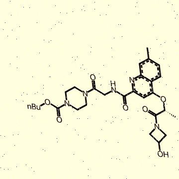 CCCCOC(=O)N1CCN(C(=O)CNC(=O)c2cc(O[C@H](C)C(=O)N3CC(O)C3)c3ccc(C)cc3n2)CC1